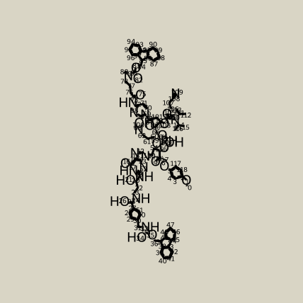 COc1ccc(OC[C@H]2O[C@@H](n3cnc4c(=O)[nH]c(NC(O)CCNC(O)c5ccc(CNC(O)OCC6c7ccccc7-c7ccccc76)cc5)nc43)CC2O[PH](O)(OCCC#N)OC[C@H]2O[C@@H](N3C=CC(NC(=O)CCCN(C)C(=O)OCC4c5ccccc5-c5ccccc54)=NC3O)CC2OP(OCCC#N)N(C(C)C)C(C)C)cc1